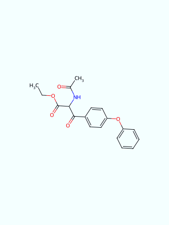 CCOC(=O)C(NC(C)=O)C(=O)c1ccc(Oc2ccccc2)cc1